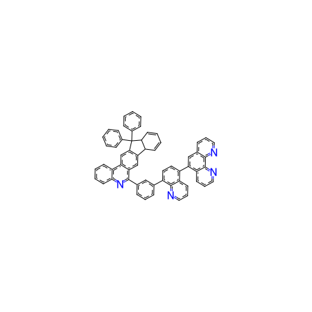 C1=CC2c3cc4c(-c5cccc(-c6ccc(-c7cc8cccnc8c8ncccc78)c7cccnc67)c5)nc5ccccc5c4cc3C(c3ccccc3)(c3ccccc3)C2C=C1